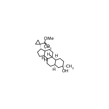 COC(=O)C1([C@H]2CC[C@H]3[C@@H]4CC[C@@H]5C[C@](C)(O)CC[C@@H]5[C@H]4CC[C@]23C)CC1